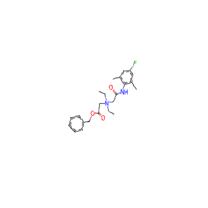 CC[N+](CC)(CC(=O)Nc1c(C)cc(F)cc1C)CC(=O)OCc1ccccc1